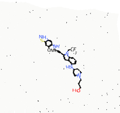 COc1cc(SN)ccc1NCC#Cc1cc2c(NC3CCN(CCCO)CC3)cccc2n1CC(F)(F)F